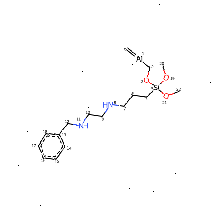 [CH2]=[Al][CH2]O[Si](CCCNCCNCc1ccccc1)(OC)OC